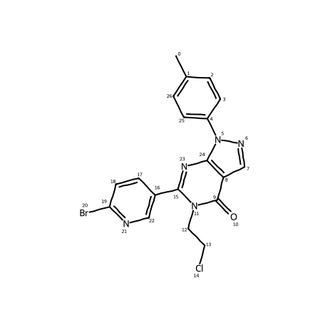 Cc1ccc(-n2ncc3c(=O)n(CCCl)c(-c4ccc(Br)nc4)nc32)cc1